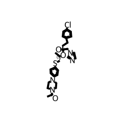 CC(=O)N1CCN(c2ccc(SC[C@@H]3CO[C@](CCc4ccc(Cl)cc4)(Cn4ccnc4)O3)cc2)CC1